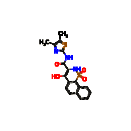 Cc1nc(NC(=O)C2=C(O)c3ccc4ccccc4c3S(=O)(=O)N2)sc1C